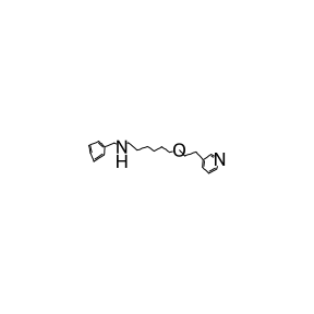 c1ccc(CNCCCCCCOCCc2cccnc2)cc1